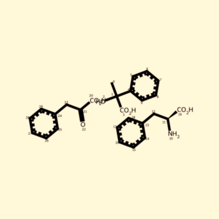 CC(O)(C(=O)O)c1ccccc1.N[C@@H](Cc1ccccc1)C(=O)O.O=C(O)C(=O)Cc1ccccc1